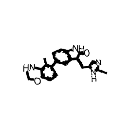 Cc1ncc(/C=C2\C(=O)Nc3ccc(-c4ccc5c(c4C)NCCO5)cc32)[nH]1